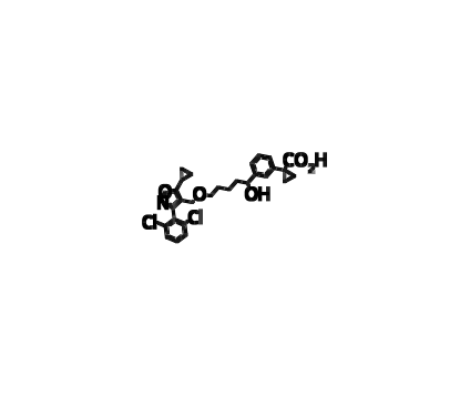 O=C(O)C1(c2cccc(C(O)CCCCOCc3c(-c4c(Cl)cccc4Cl)noc3C3CC3)c2)CC1